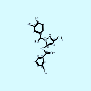 CCC(c1ccc(F)c(F)c1)n1nc(C)cc1OC(=O)c1cccc(F)c1